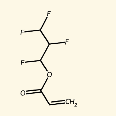 C=CC(=O)OC(F)C(F)C(F)F